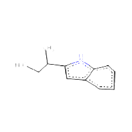 CCC(C)c1cc2ccccc2[nH]1